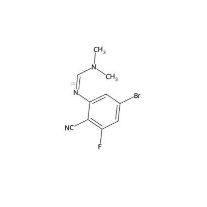 CN(C)/C=N\c1cc(Br)cc(F)c1C#N